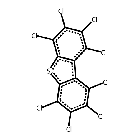 Clc1c(Cl)c(Cl)c2c(sc3c(Cl)c(Cl)c(Cl)c(Cl)c32)c1Cl